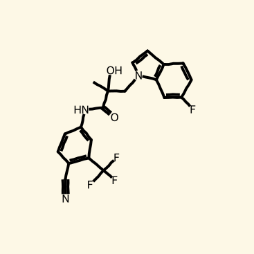 CC(O)(Cn1ccc2ccc(F)cc21)C(=O)Nc1ccc(C#N)c(C(F)(F)F)c1